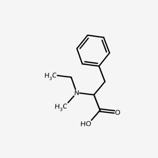 CCN(C)C(Cc1ccccc1)C(=O)O